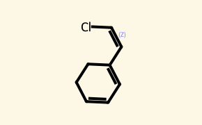 Cl/C=C\C1=CC=CCC1